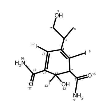 CC(CO)C1=C(I)C(C(N)=O)C(O)(I)C(C(N)=O)=C1I